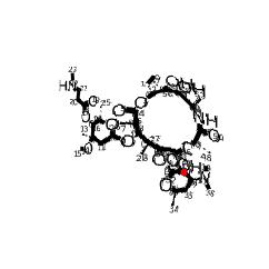 CC[C@H]1OC(=O)[C@H](C)[C@@H](OC2C[C@@](C)(OC)[C@@H](OC(=O)CCNC)[C@H](C)O2)[C@H](C)[C@@H](O[C@@H]2O[C@H](C)C[C@H](N(C)C)[C@H]2O)[C@](C)(OC)C[C@@H](C)C(=O)N[C@H](C)[C@@H](O)[C@]1(C)O